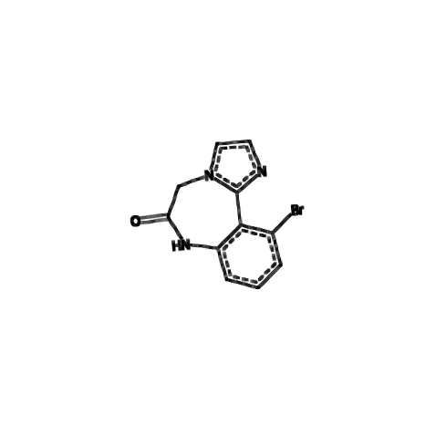 O=C1Cn2ccnc2-c2c(Br)cccc2N1